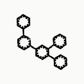 c1ccc(-c2cccc(-c3ccc(-c4ccccc4)c(-c4ccccc4)c3)n2)cc1